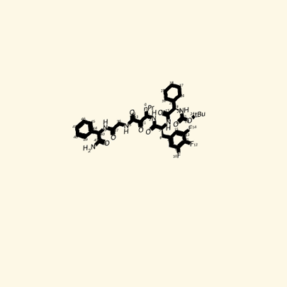 CCCC(NC(=O)[C@H](Cc1cc(F)c(F)c(F)c1)NC(=O)[C@@H](NC(=O)OC(C)(C)C)C1CCCCC1)C(=O)C(=O)NCC(=O)NC(C(N)=O)c1ccccc1